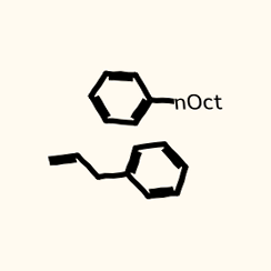 C=CCc1ccccc1.CCCCCCCCc1ccccc1